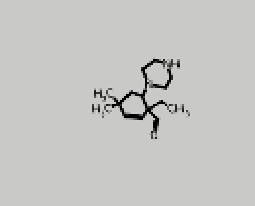 CCC1(C=O)C=CC(C)(C)CC1N1CCNCC1